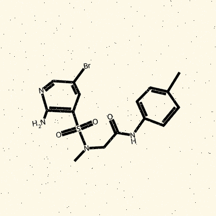 Cc1ccc(NC(=O)CN(C)S(=O)(=O)c2cc(Br)cnc2N)cc1